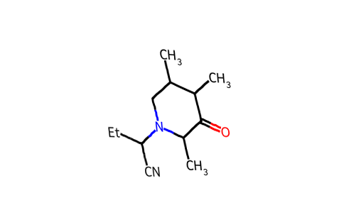 CCC(C#N)N1CC(C)C(C)C(=O)C1C